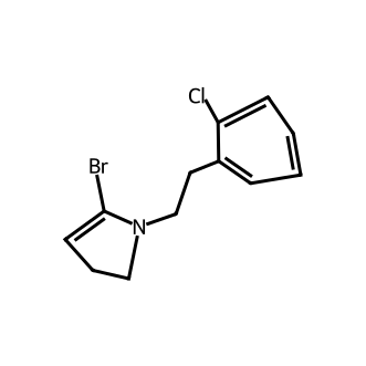 Clc1ccccc1CCN1CCC=C1Br